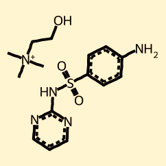 C[N+](C)(C)CCO.Nc1ccc(S(=O)(=O)Nc2ncccn2)cc1